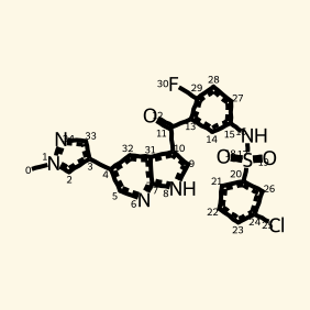 Cn1cc(-c2cnc3[nH]cc(C(=O)c4cc(NS(=O)(=O)c5cccc(Cl)c5)ccc4F)c3c2)cn1